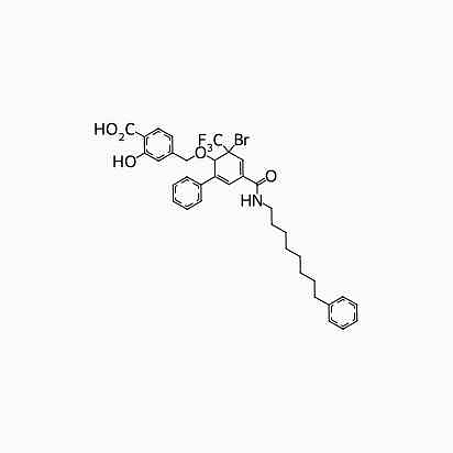 O=C(NCCCCCCCCc1ccccc1)C1=CC(Br)(C(F)(F)F)C(OCc2ccc(C(=O)O)c(O)c2)C(c2ccccc2)=C1